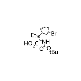 CC[C@@H](c1cccc(Br)c1)C(NC(=O)OC(C)(C)C)C(=O)O